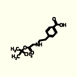 CC(C)(C)OC(=O)CNCCc1ccc(C(=O)O)cc1